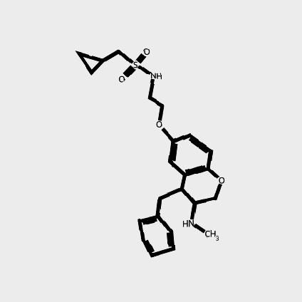 CNC1COc2ccc(OCCNS(=O)(=O)CC3CC3)cc2C1Cc1ccccc1